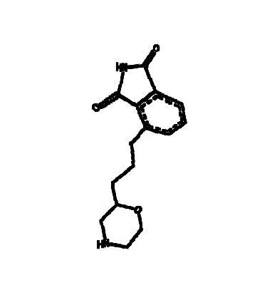 O=C1NC(=O)c2c(CCCC3CNCCO3)cccc21